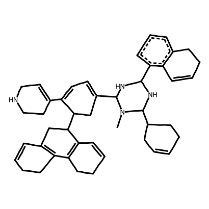 CN1C(C2=CC=C(C3=CCNCC3)C(C3CC4=C(CCC=C4)C4=C3C=CCC4)C2)NC(c2cccc3c2C=CCC3)NC1C1CC=CCC1